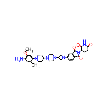 COc1cc(N2CCC(N3CCN(C4CN(c5ccc6c(c5)C(=O)N(C5CCC(=O)NC5=O)C6=O)C4)CC3)CC2)c(C)cc1N